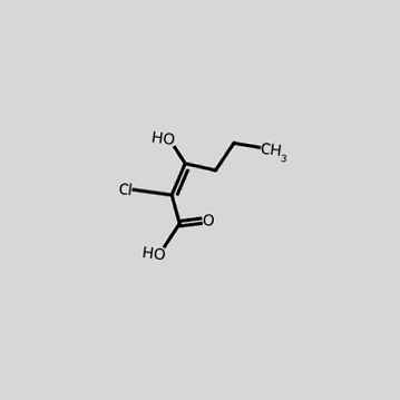 CCC/C(O)=C(/Cl)C(=O)O